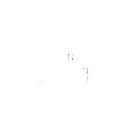 CC(C)(C)NC(=N)CCS